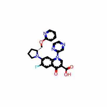 O=C(O)c1cn(-c2cnccn2)c2cc(N3CCC[C@@H]3COc3ccccn3)c(F)cc2c1=O